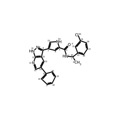 C[C@@H](NC(=O)c1cc(-c2n[nH]c3ncc(-c4ccccc4)cc23)c[nH]1)c1cccc(Cl)c1